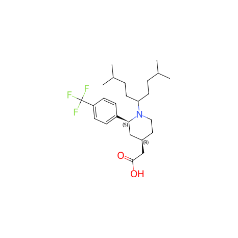 CC(C)CCC(CCC(C)C)N1CC[C@@H](CC(=O)O)C[C@H]1c1ccc(C(F)(F)F)cc1